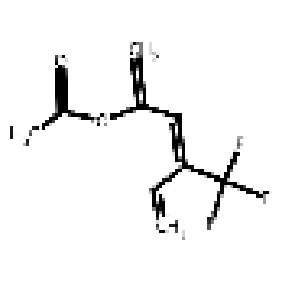 C=C/C(=C\C(=C)OC(C)=O)C(F)(F)F